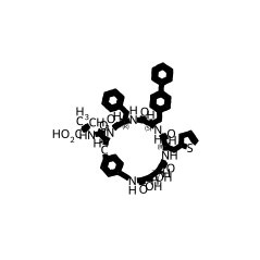 CC(C)(NC(=O)[C@@H]1Cc2ccc(cc2)NC(=O)[C@H](O)[C@@H](O)C(=O)N[C@H](CC2CC=CS2)C(=O)N[C@@H](Cc2ccc(-c3ccccc3)cc2)C(=O)N[C@H](Cc2ccccc2)C(=O)N1)C(=O)O